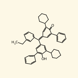 CCc1cccc(C(=C2C=C(c3ccccc3)C(=O)C(C3CCCCC3)=C2)c2cc(-c3ccccc3)c(O)c(C3CCCCC3)c2)c1